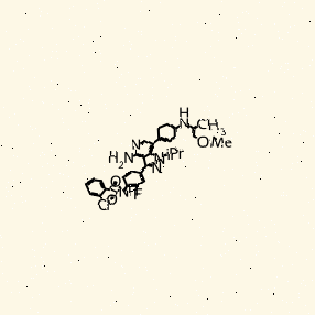 COCC(C)NC1CC=C(c2cnc(N)c3c(-c4ccc(NS(=O)(=O)c5ccccc5Cl)c(F)c4)nn(C(C)C)c23)CC1